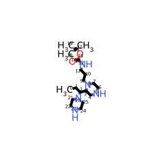 CCC(C1CNCCN1CCCNC(=O)OC(C)(C)C)N1CCNCC1